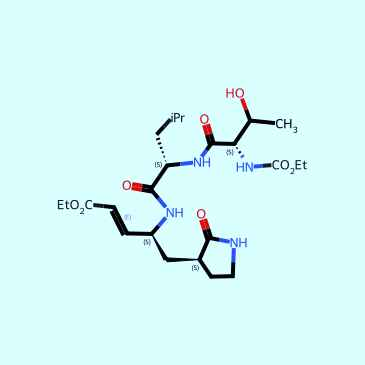 CCOC(=O)/C=C/[C@H](C[C@@H]1CCNC1=O)NC(=O)[C@H](CC(C)C)NC(=O)[C@@H](NC(=O)OCC)C(C)O